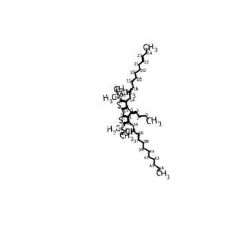 CCCC=C1c2c(sc([Si](C)(C)C)c2CCCCCCCCCCCC)-c2sc([Si](C)(C)C)c(CCCCCCCCCCCC)c21